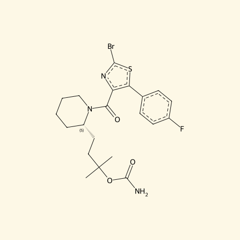 CC(C)(CC[C@@H]1CCCCN1C(=O)c1nc(Br)sc1-c1ccc(F)cc1)OC(N)=O